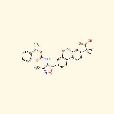 Cc1noc(-c2ccc3c(c2)OCc2cc(C4(C(=O)O)CC4)ccc2-3)c1NC(=O)OC(C)c1ccccc1